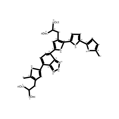 CCCCCCCCCCC(CCCCCCCC)Cc1cc(-c2ccc(-c3cc(CC(CCCCCCCC)CCCCCCCCCC)c(-c4ccc(-c5ccc(C)s5)s4)s3)c3nsnc23)sc1C